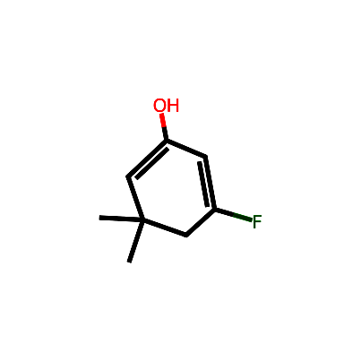 CC1(C)C=C(O)C=C(F)C1